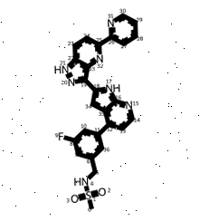 CS(=O)(=O)NCc1cc(F)cc(-c2ccnc3[nH]c(-c4n[nH]c5ccc(-c6ccccn6)nc45)cc23)c1